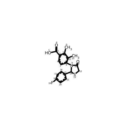 Cc1c(C(=O)O)ccc(N2C(=O)CSC2c2ccc(F)cc2)c1C